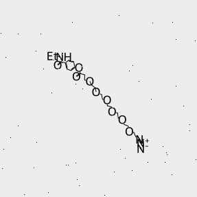 CCNC(=O)c1ccc(OC(=O)CCOCCOCCOCCOCCOCCOCCN=[N+]=[N-])cc1